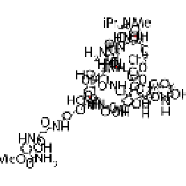 CN[C@H](CC(C)C)C(=O)N[C@H]1C(=O)N[C@@H](CC(N)=O)C(=O)N[C@H]2C(=O)N[C@@H]3CC(O)=C(C=C3CC(N)=O)c3c(O)cc(O)cc3[C@H](C(=O)NCOCCOCCNC(=O)CCC(=O)Nc3ccc(OC)c(C(N)=O)c3O)NC(=O)C[C@H](O)c3ccc(c(Cl)c3)Oc3cc2cc(c3OC2O[C@@H](CO)[C@@H](O)[C@H](O)[C@@H]2O[C@@H]2CC(=N)[C@H](O)[C@@H](C)O2)Oc2ccc(cc2Cl)[C@H]1O